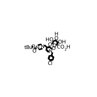 CC(C)(C)OC(=O)N1CCN(Cc2ccn(Cc3ccc(Cl)cc3)c(=O)c2O[C@@H]2O[C@H](C(=O)O)[C@@H](O)[C@H](O)C2O)CC1